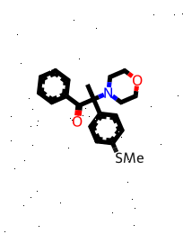 CSc1ccc(C(C)(C(=O)c2ccccc2)N2CCOCC2)cc1